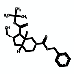 CC(C)(C)OC(=O)N1[C@@H](CO)C[C@H]2CCN(C(=O)OCc3ccccc3)C[C@H]21